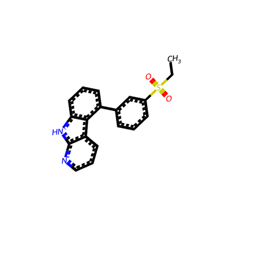 CCS(=O)(=O)c1cccc(-c2cccc3[nH]c4ncccc4c23)c1